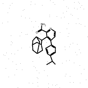 CC(C)c1ccc(-c2ccnc(C(N)=O)c2C2C3CC4CC(C3)CC2C4)cc1